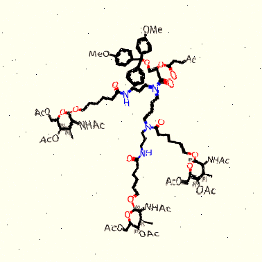 COc1ccc(C(OCC(OC(=O)CCC(C)=O)C(=O)N(CCCCN(CCCNC(=O)CCCCCO[C@@H]2OC(COC(C)=O)[C@H](OC(C)=O)[C@H](C)C2NC(C)=O)C(=O)CCCCCO[C@@H]2OC(COC(C)=O)[C@H](OC(C)=O)[C@H](C)C2NC(C)=O)CCCNC(=O)CCCCCO[C@@H]2OC(COC(C)=O)[C@H](OC(C)=O)[C@H](C)C2NC(C)=O)(c2ccccc2)c2ccc(OC)cc2)cc1